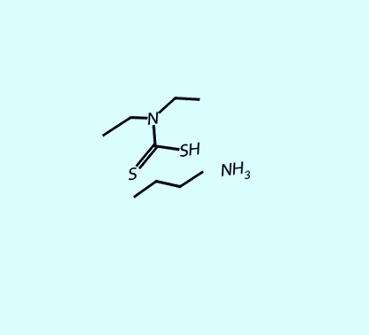 CCCC.CCN(CC)C(=S)S.N